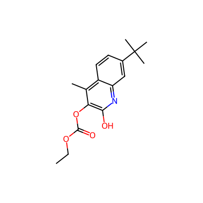 CCOC(=O)Oc1c(O)nc2cc(C(C)(C)C)ccc2c1C